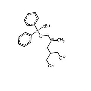 C[C@H](CO[Si](c1ccccc1)(c1ccccc1)C(C)(C)C)CC(CO)CO